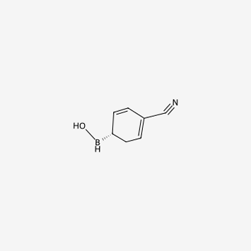 N#CC1=CC[C@H](BO)C=C1